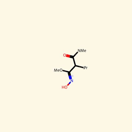 CNC(=O)C(/C(=N/O)OC)C(C)C